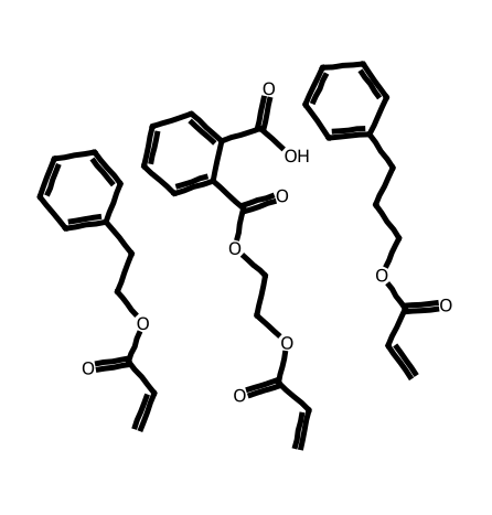 C=CC(=O)OCCCc1ccccc1.C=CC(=O)OCCOC(=O)c1ccccc1C(=O)O.C=CC(=O)OCCc1ccccc1